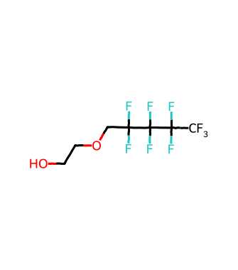 OCCOCC(F)(F)C(F)(F)C(F)(F)C(F)(F)F